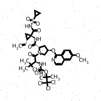 C=C[C@@H]1C[C@]1(NC(=O)[C@@H]1C[C@@H](Oc2nccc3cc(OC)ccc23)CN1C(=O)[C@@H](NC(=O)OC(C)(C)C(Cl)(Cl)Cl)C(C)(C)C)C(=O)NS(=O)(=O)C1CC1